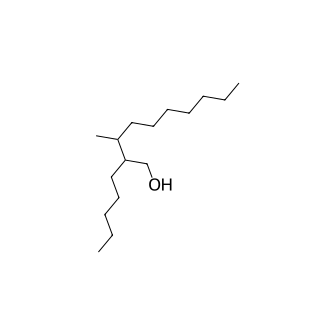 CCCCCCCC(C)C(CO)CCCCC